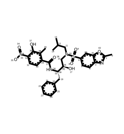 Cc1nc2ccc(S(=O)(=O)N(CC(C)C)C[C@@H](O)[C@H](Cc3ccccc3)NC(=O)c3ccc([N+](=O)[O-])c(O)c3C)cc2o1